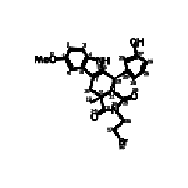 COc1ccc2[nH]c3c(c2c1)C[C@@]1(C)C(=O)N(CCBr)C(=O)N1[C@@H]3c1cccc(O)c1